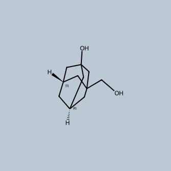 OCC12C[C@@H]3C[C@@H](CC(O)(C3)C1)C2